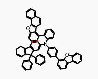 C1=CC2=C(CC1)c1ccc(N(c3ccc(-c4cccc5c4oc4ccccc45)cc3)c3ccccc3-c3cccc4oc5c6ccccc6ccc5c34)cc1C2(c1ccccc1)c1ccccc1